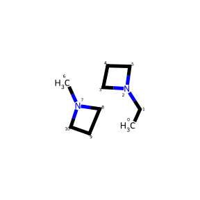 CCN1CCC1.CN1CCC1